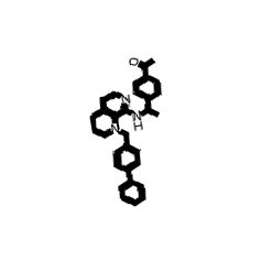 CC(=O)c1ccc(C(C)Nc2nccc3c2N(Cc2ccc(-c4ccccc4)cc2)CCC3)cc1